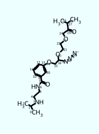 CC(C)NCCNC(=O)c1cccc(OCC(N=[N+]=[N-])OCCOCC(=O)C(C)C)c1